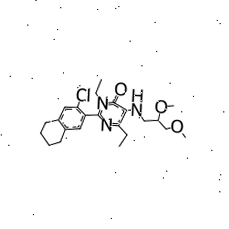 CCc1nc(-c2cc3c(cc2Cl)CCCC3)n(CC)c(=O)c1NCC(COC)OC